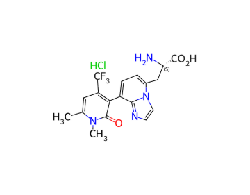 Cc1cc(C(F)(F)F)c(-c2ccc(C[C@H](N)C(=O)O)n3ccnc23)c(=O)n1C.Cl